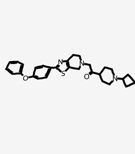 O=C(CN1CCc2nc(-c3ccc(Oc4ccccc4)cc3)sc2C1)C1CCN(C2CCC2)CC1